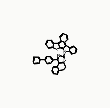 c1ccc(-c2ccc(-c3nc(-n4c5ccccc5c5c6ccccc6c6c7ccccc7sc6c54)nc4c3-c3ccccc3CC4)cc2)cc1